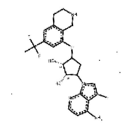 CC(F)(F)c1cc2c(c(OC3CC(n4cc(F)c5c(N)ccnc54)[C@H](O)[C@@H]3O)c1)CNCC2